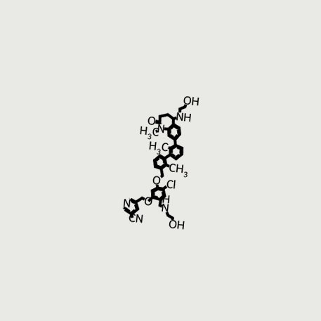 Cc1c(COc2cc(OCc3cncc(C#N)c3)c(CNCCO)cc2Cl)cccc1-c1cccc(-c2ccc3c(c2)N(C)C(=O)CCC3NCCO)c1C